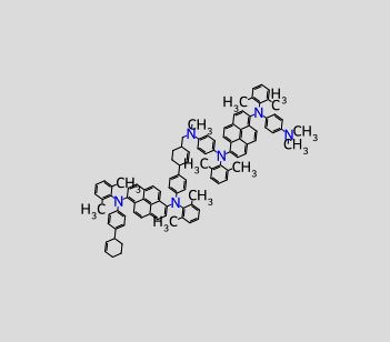 Cc1cccc(C)c1N(c1ccc(C2C=CCCC2)cc1)c1ccc2ccc3c(N(c4ccc(C5C=CC(CN(C)c6ccc(N(c7c(C)cccc7C)c7ccc8ccc9c(N(c%10ccc(N(C)C)cc%10)c%10c(C)cccc%10C)ccc%10ccc7c8c%109)cc6)CC5)cc4)c4c(C)cccc4C)ccc4ccc1c2c43